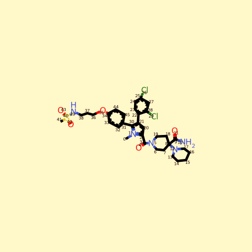 Cn1c(C(=O)N2CCC(C(N)=O)(N3CCCCC3)CC2)cc(-c2ccc(Cl)cc2Cl)c1-c1ccc(OCCCNS(C)(=O)=O)cc1